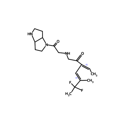 C/C=C(\C=C(/C)C(C)(F)F)C(=O)CNCC(=O)N1CCC2NCCC21